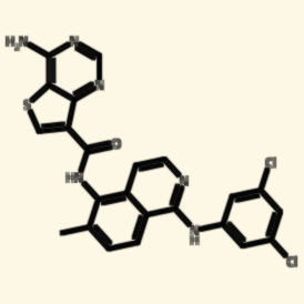 Cc1ccc2c(Nc3cc(Cl)cc(Cl)c3)nccc2c1NC(=O)c1csc2c(N)ncnc12